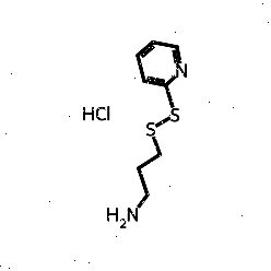 Cl.NCCCSSc1ccccn1